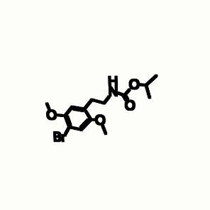 COc1cc(CCNC(=O)OC(C)C)c(OC)cc1Br